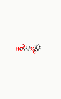 O=C(O)CCCCCOC(=O)C1CCCCC1